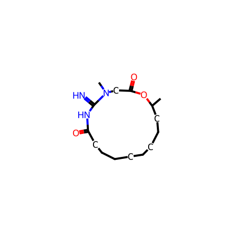 CC1CCCCCCCCC(=O)NC(=N)N(C)CC(=O)O1